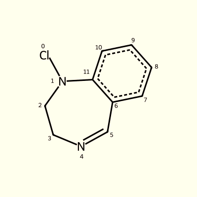 ClN1CCN=Cc2ccccc21